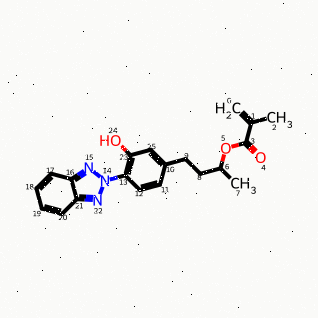 C=C(C)C(=O)OC(C)CCc1ccc(-n2nc3ccccc3n2)c(O)c1